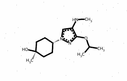 CNc1cn([C@H]2CC[C@](C)(O)CC2)nc1OC(C)C